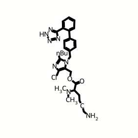 CCCCc1nc(Cl)c(COC(=O)C(CCCCN)N(C)C)n1Cc1ccc(-c2ccccc2-c2nn[nH]n2)cc1